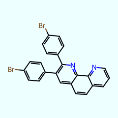 Brc1ccc(-c2cc3ccc4cccnc4c3nc2-c2ccc(Br)cc2)cc1